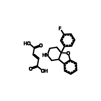 Fc1cccc(C23CCNCC2c2ccccc2O3)c1.O=C(O)C=CC(=O)O